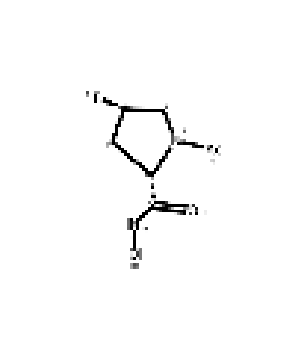 CC(=O)N1C[C@H](F)C[C@H]1C(=O)NO